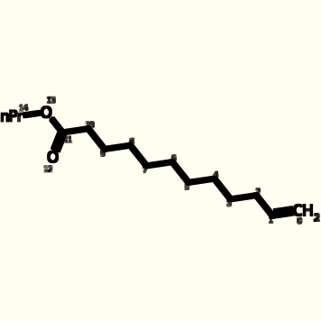 C=CCCCCCCCCCC(=O)OCCC